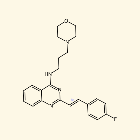 Fc1ccc(/C=C/c2nc(NCCCN3CCOCC3)c3ccccc3n2)cc1